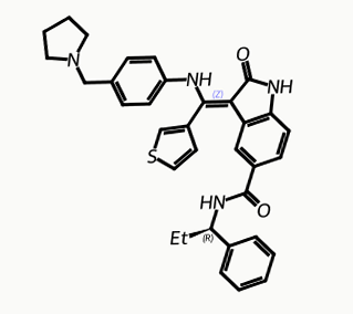 CC[C@@H](NC(=O)c1ccc2c(c1)/C(=C(/Nc1ccc(CN3CCCC3)cc1)c1ccsc1)C(=O)N2)c1ccccc1